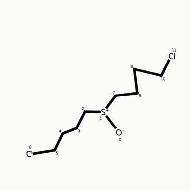 [O-][S+](CCCCCl)CCCCCl